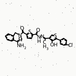 C/C(=N\NC(=O)c1ccc(C(=O)NCc2ccccc2C(N)=O)s1)c1csc(-c2ccc(Cl)cc2)c1O